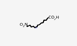 O=C(O)CCCCCCC/C=C\CCCC[N+](=O)[O-]